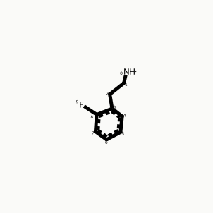 [NH]CCc1ccccc1F